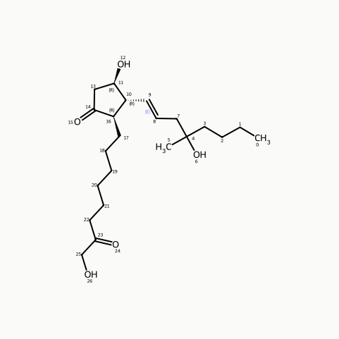 CCCCC(C)(O)C/C=C/[C@H]1[C@H](O)CC(=O)[C@@H]1CCCCCCC(=O)CO